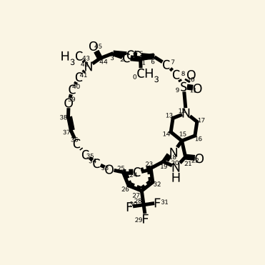 Cc1cc2ccc1CCS(=O)(=O)N1CCC3(CC1)N=C(NC3=O)c1cc(cc(C(F)(F)F)c1)OCCC/C=C\OCCN(C)C2=O